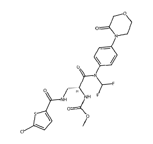 COC(=O)N[C@H](CNC(=O)c1ccc(Cl)s1)C(=O)N(c1ccc(N2CCOCC2=O)cc1)C(F)F